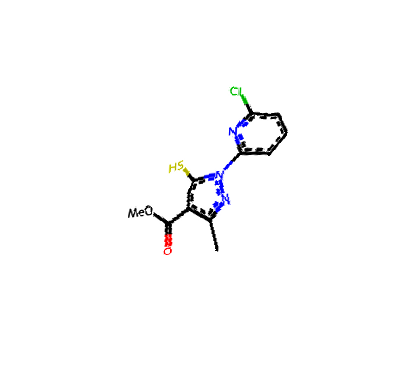 COC(=O)c1c(C)nn(-c2cccc(Cl)n2)c1S